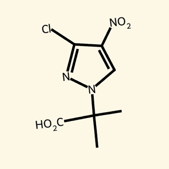 CC(C)(C(=O)O)n1cc([N+](=O)[O-])c(Cl)n1